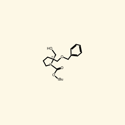 CC(C)(C)OC(=O)N1CCC[C@]1(CO)COCc1ccccc1